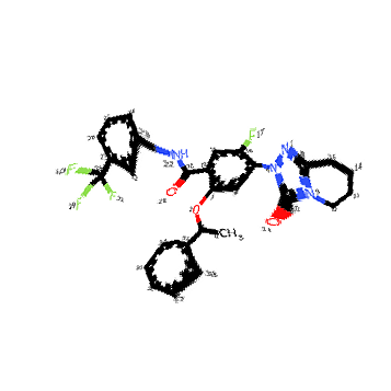 CC(Oc1cc(-n2nc3n(c2=O)CCCC3)c(F)cc1C(=O)Nc1cccc(C(F)(F)F)c1)c1ccccc1